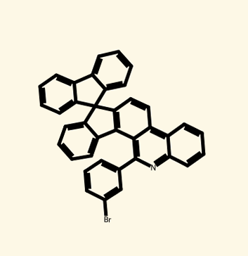 Brc1cccc(-c2nc3ccccc3c3ccc4c(c23)-c2ccccc2C42c3ccccc3-c3ccccc32)c1